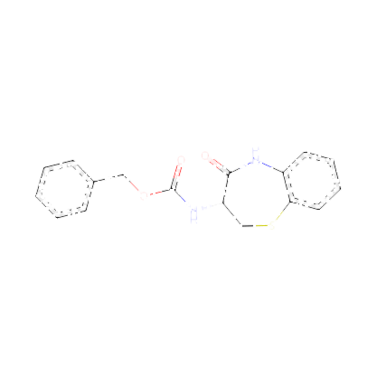 O=C(N[C@H]1CSc2ccccc2NC1=O)OCc1ccccc1